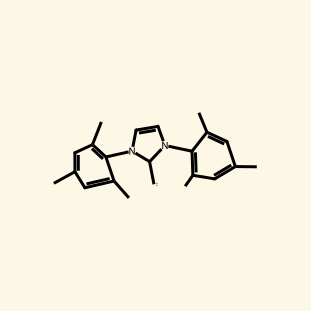 [CH]C1N(c2c(C)cc(C)cc2C)C=CN1c1c(C)cc(C)cc1C